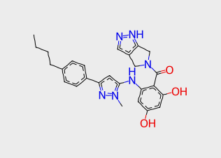 CCCCc1ccc(-c2cc(Nc3cc(O)cc(O)c3C(=O)N3Cc4cn[nH]c4C3)n(C)n2)cc1